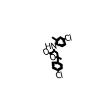 Cc1cc(Cl)ccc1NC1CC(C)(c2ccc(Cl)cc2)OC1=O